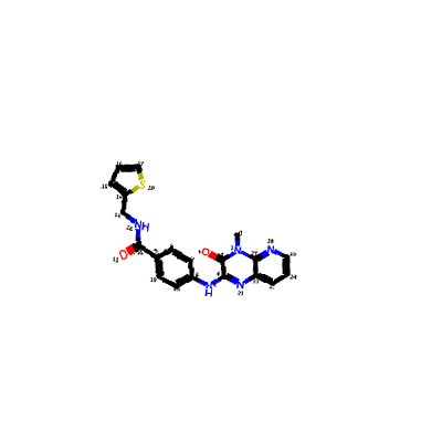 Cn1c(=O)c(Nc2ccc(C(=O)NCc3cccs3)cc2)nc2cccnc21